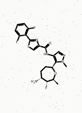 C[C@@H]1O[C@H](c2c(NC(=O)c3csc(-c4c(F)cccc4F)n3)cnn2C)CC[C@@H](N)[C@H]1F